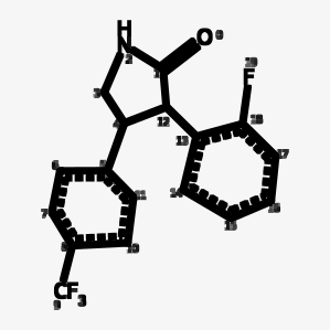 O=C1NCC(c2ccc(C(F)(F)F)cc2)C1c1ccccc1F